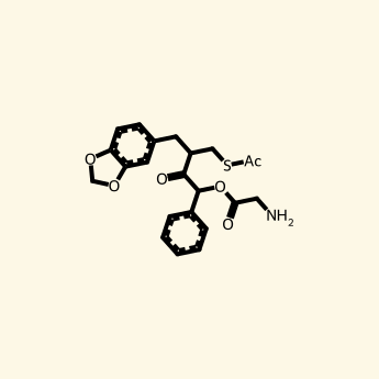 CC(=O)SCC(Cc1ccc2c(c1)OCO2)C(=O)C(OC(=O)CN)c1ccccc1